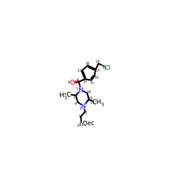 CCCCCCCCCCCCN1CC(C)N(C(=O)c2ccc(CCl)cc2)CC1C